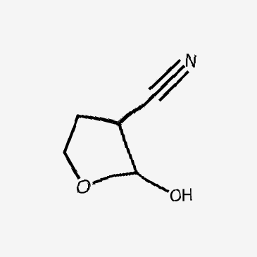 N#CC1CCOC1O